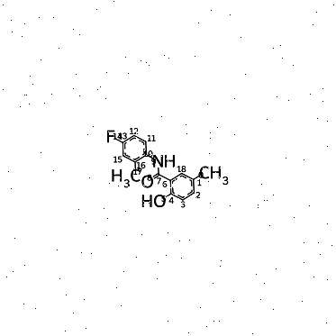 Cc1ccc(O)c(C(=O)Nc2ccc(F)cc2C)c1